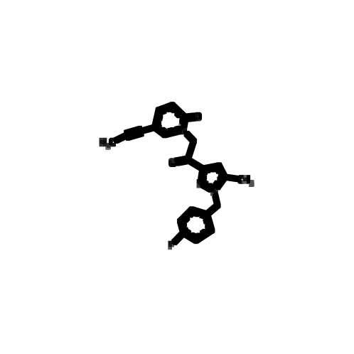 CC#Cc1ccc(=O)n(CC(=O)c2cc(C)n(Cc3ccc(F)cc3)n2)c1